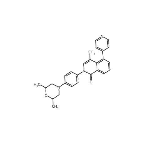 Cc1cn(-c2ccc(N3CC(C)OC(C)C3)cc2)c(=O)c2cccc(-c3ccncc3)c12